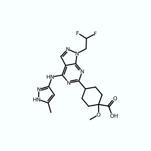 COC1(C(=O)O)CCC(c2nc(Nc3cc(C)[nH]n3)c3cnn(CC(F)F)c3n2)CC1